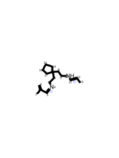 C=C(C)/C=N\CCC1(CCN/C=C/C)CCCC1